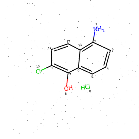 Cl.Nc1cccc2c(O)c(Cl)ccc12